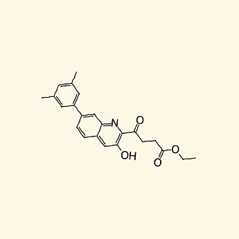 CCOC(=O)CCC(=O)c1nc2cc(-c3cc(C)cc(C)c3)ccc2cc1O